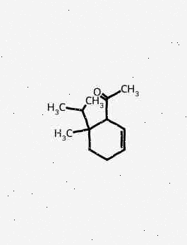 CC(=O)C1C=CCCC1(C)C(C)C